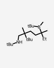 CCC(C)(CCC(C)(CNC(C)(C)C)C(C)(C)C)B(C)C(C)(C)C